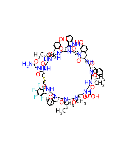 CCCC[C@H]1C(=O)N(C)CC(=O)N[C@@H](CC(=O)O)C(=O)N[C@@H](C(C)C)C(=O)N(C)[C@@H](Cc2ccccc2)C(=O)N[C@H]2Cc3ccc(O)cc3N(CC(=O)N[C@@H](Cc3c[nH]c4ccccc34)C(=O)N[C@@H](Cc3ccc(O)cc3)C(=O)N[C@@H](CC(C)C)C(=O)N[C@H](C(=O)NCC(N)=O)CSCC(=O)N[C@@H](Cc3c(F)c(F)c(F)c(F)c3F)C(=O)N(C)[C@@H](Cc3ccccc3)C(=O)N1C)C2=O